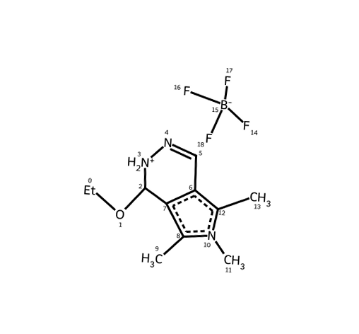 CCOC1[NH2+]N=Cc2c1c(C)n(C)c2C.F[B-](F)(F)F